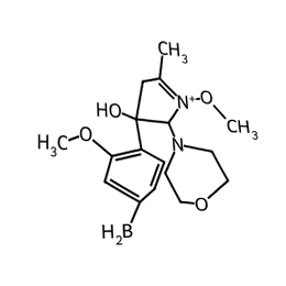 Bc1ccc(C2(O)CC(C)=[N+](OC)C2N2CCOCC2)c(OC)c1